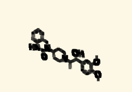 COc1ccc(C(O)C(C)N2CCC(N3Cc4ccccc4NC3=O)CC2)cc1OC